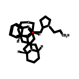 O=C(O)CCN1CCCC1Cc1nc2ccccc2n1C1C[C@H]2CCC[C@@H](C1)N2C1C[C@H]2CCCC[C@@H](C1)C2